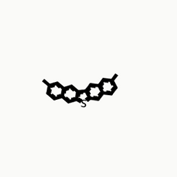 Cc1ccc2cc3sc4cc5ccc(C)cc5cc4c3cc2c1